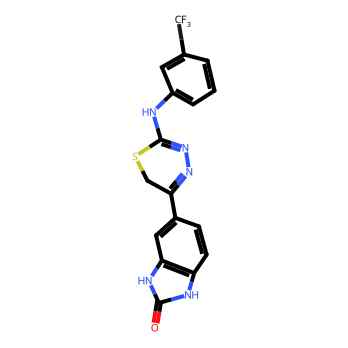 O=c1[nH]c2ccc(C3=NN=C(Nc4cccc(C(F)(F)F)c4)SC3)cc2[nH]1